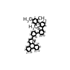 Cc1cc(C)c(-c2cccc3c2sc2c(-c4cccc(-c5ccc6c7ccccc7c7ccccc7c6n5)c4)cccc23)c(C)c1